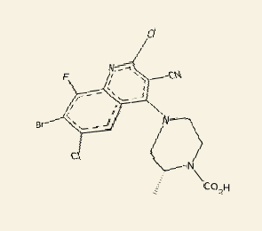 C[C@@H]1CN(c2c(C#N)c(Cl)nc3c(F)c(Br)c(Cl)cc23)CCN1C(=O)O